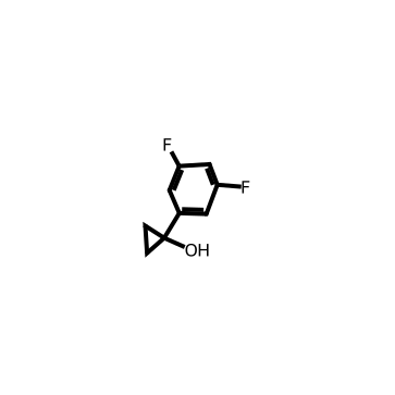 OC1(c2cc(F)cc(F)c2)CC1